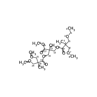 CCOCC(C)(COC)C(=O)OCC(C)(COC(=O)C(C)(COC)COC)C(=O)OC